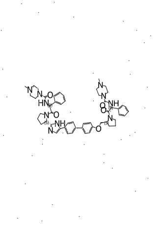 CN1CCN(C(=O)N[C@@H](C(=O)N2CCC[C@H]2COc2ccc(-c3ccc(-c4cnc([C@@H]5CCCN5C(=O)[C@H](NC(=O)N5CCN(C)CC5)c5ccccc5)[nH]4)cc3)cc2)c2ccccc2)CC1